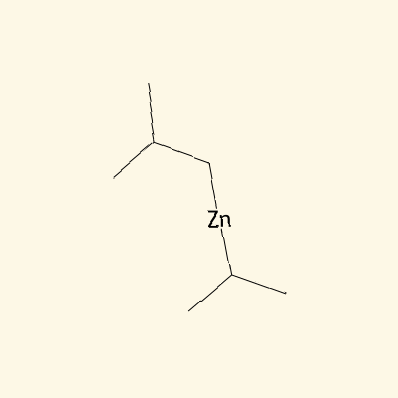 CC(C)[CH2][Zn][CH](C)C